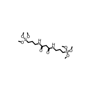 CO[Si](CCCNC(=O)CC(=O)NCCC[Si](OC)(OC)OC)(OC)OC